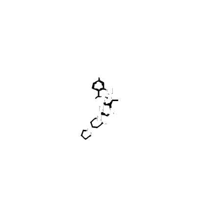 Cc1nn(C(C)c2ccc(Cl)cc2Cl)c2nc(N3C[C@@H](C)[C@@H](N4CCCC4)C[C@@H]3C)cnc12.Cl